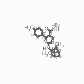 CCC(C)NC(=O)c1cnc(NC2CC3CC(C2C)C3(C)C)nc1-c1ccc(C)cc1